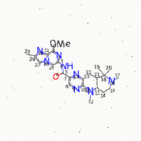 COc1nc(NC(=O)c2cnc(N(C)C3CCN(C)C(C)(C)C3C)cn2)cn2cc(C)nc12